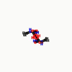 CCc1cc2c(cc1CC)CC(NC[C@H](O)c1ccc(OC(=O)[C@H](O)[C@@H](O)C(=O)Oc3ccc([C@@H](O)CNC4Cc5cc(CC)c(CC)cc5C4)c4ccc(=O)[nH]c34)c3[nH]c(=O)ccc13)C2